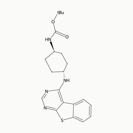 CC(C)(C)OC(=O)N[C@H]1CC[C@H](Nc2ncnc3sc4ccccc4c23)CC1